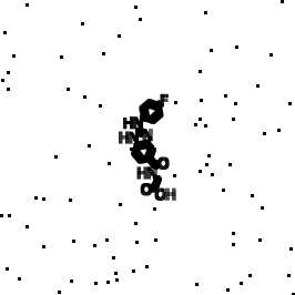 O=C(O)CNC(=O)c1ccc2[nH]c(Nc3ccc(F)cc3)nc2c1